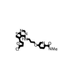 CNC(=O)c1ccc(OCCCNc2ncnc3scc(-c4ccc(Cl)o4)c23)cn1